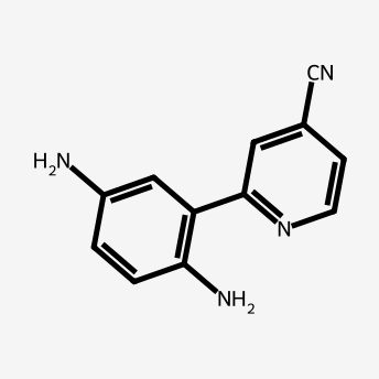 N#Cc1ccnc(-c2cc(N)ccc2N)c1